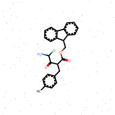 N#Cc1ccc(CC(C(=O)OCC2c3ccccc3-c3ccccc32)C(=O)C(N)Cl)cc1